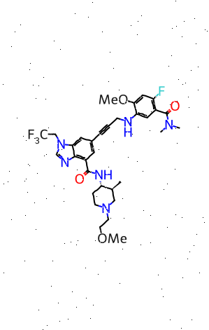 COCCN1CC[C@H](NC(=O)c2cc(C#CCNc3cc(C(=O)N(C)C)c(F)cc3OC)cc3c2ncn3CC(F)(F)F)[C@@H](C)C1